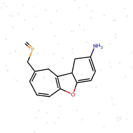 C=PCC1=CC=CC2=C(C1)C1CC(N)=CC=C1O2